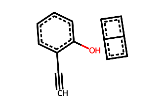 C#Cc1ccccc1O.c1cc2ccc1-2